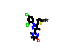 CCCc1ccc(-c2c(C)c(C3=NC(=O)C(C)(C)N3C)nn2-c2ccc(Cl)cc2Cl)s1